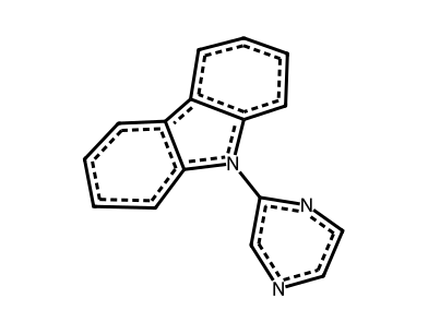 c1ccc2c(c1)c1ccccc1n2-c1cnccn1